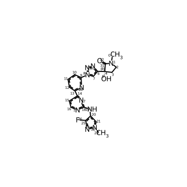 CN1CC[C@@](O)(c2cn(-c3cccc(-c4ccnc(Nc5cn(C)nc5F)n4)n3)nn2)C1=O